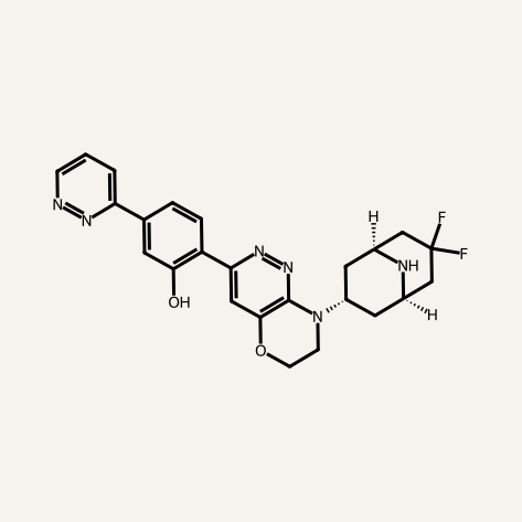 Oc1cc(-c2cccnn2)ccc1-c1cc2c(nn1)N([C@H]1C[C@@H]3CC(F)(F)C[C@H](C1)N3)CCO2